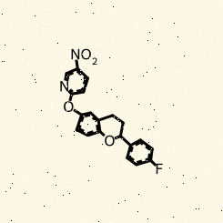 O=[N+]([O-])c1ccc(Oc2ccc3c(c2)CCC(c2ccc(F)cc2)O3)nc1